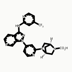 O=C(O)N1C[C@@H]2C[C@H]1CN2c1cc(-n2nc(Nc3cc(C(F)(F)F)ccn3)c3ccncc32)ccn1